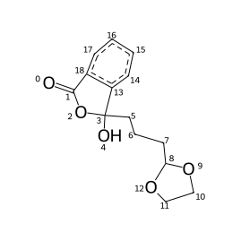 O=C1OC(O)(CCCC2OCCO2)c2ccccc21